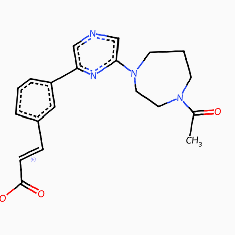 CC(=O)N1CCCN(c2cncc(-c3cccc(/C=C/C(=O)O)c3)n2)CC1